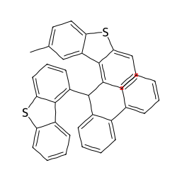 Cc1ccc2sc3cccc(C(c4ccccc4-c4ccccc4)c4cccc5sc6ccccc6c45)c3c2c1